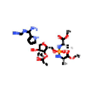 CC(C)OC(=O)[C@H](C)NP(=O)(N[C@@H](C)C(=O)OC(C)C)OC[C@H]1O[C@@H](c2ccc(/C(N)=N\C=N)[nH]2)[C@](C)(O)[C@@H]1OC(=O)C(C)C